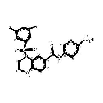 Cc1cc(C)cc(S(=O)(=O)N2CCOc3ccc(C(=O)Nc4ccc(C(=O)O)cc4)cc32)c1